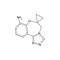 Nc1cccc2c1OC1(CC1)Cn1cnnc1-2